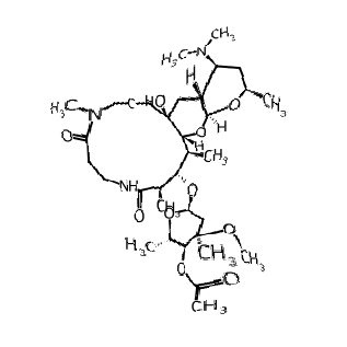 CO[C@]1(C)C[C@H](O[C@H]2[C@H](C)[C@H]3O[C@@H]4O[C@H](C)C[C@H](N(C)C)[C@H]4C[C@@]3(O)CCCN(C)C(=O)CCNC(=O)[C@@H]2C)O[C@@H](C)[C@@H]1OC(C)=O